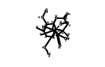 [3H]OC1=C(C)C2(O)C(O)(C1=O)[C@@]1(C)CC(=O)OC23C(OCC)C(C)CC[C@@]31OCC